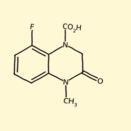 CN1C(=O)CN(C(=O)O)c2c(F)cccc21